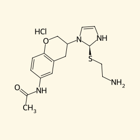 CC(=O)Nc1ccc2c(c1)CC(N1C=CN[C@H]1SCCN)CO2.Cl